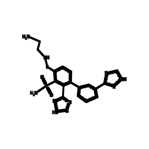 NCCNSc1ccc(-c2cccc(-c3nc[nH]n3)c2)c(-c2nn[nH]n2)c1S(N)(=O)=O